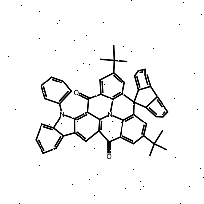 CC(C)(C)c1cc2c3c(c1)c(=O)c1cc4c5ccccc5n(-c5ccccc5)c4c4c(=O)c5cc(C(C)(C)C)cc(c5n3c14)C21c2ccccc2-c2ccccc21